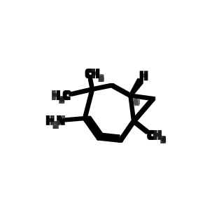 CC1(C)C[C@@H]2CC2(C)C=C=C1N